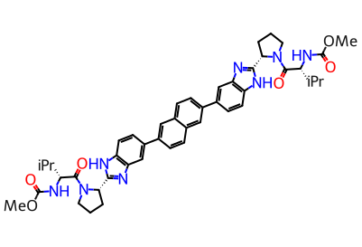 COC(=O)N[C@@H](C(=O)N1CCC[C@H]1c1nc2cc(-c3ccc4cc(-c5ccc6[nH]c([C@@H]7CCCN7C(=O)[C@H](NC(=O)OC)C(C)C)nc6c5)ccc4c3)ccc2[nH]1)C(C)C